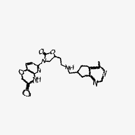 Cc1ncnc2c1CC(CNCCC1CN(c3ccc4c(n3)NC(=O)CO4)C(=O)O1)C2